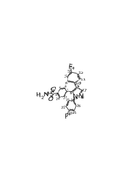 NS(=O)(=O)c1ccc(-c2c(-c3ccc(F)cc3)cnn2-c2ccc(F)cc2)cc1